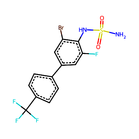 NS(=O)(=O)Nc1c(F)cc(-c2ccc(C(F)(F)F)cc2)cc1Br